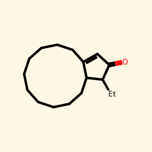 CCC1C(=O)C=C2CCCCCCCCCCC21